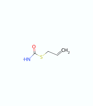 C=CCSC([NH])=O